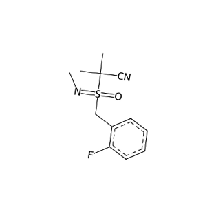 CN=S(=O)(Cc1ccccc1F)C(C)(C)C#N